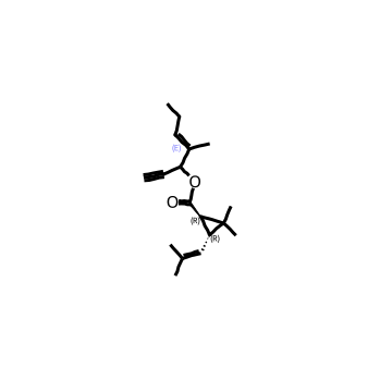 C#CC(OC(=O)[C@@H]1[C@@H](C=C(C)C)C1(C)C)/C(C)=C/CC